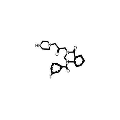 O=C(CN1CCNCC1)CN1CN(C(=O)c2cccc(F)c2)c2ccccc2C1=O